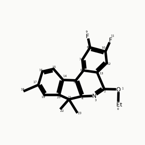 CCOc1nc2c(c3cc(F)c(F)cc13)-c1ccc(C)cc1C2(C)C